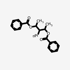 CCCC(C(C)OC(=O)c1ccccc1)C(C)OC(=O)c1ccccc1